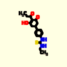 CCNC(=S)Nc1ccc(C2CC(=O)C(C(=O)CC)=C(O)C2)cc1